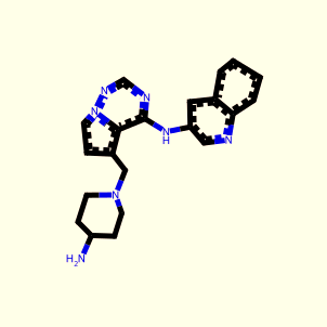 NC1CCN(Cc2ccn3ncnc(Nc4cnc5ccccc5c4)c23)CC1